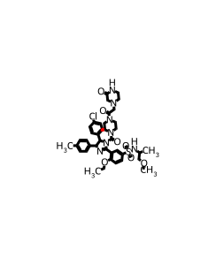 CCOc1ccc(S(=O)(=O)NC(C)COC)cc1C1=NC(c2ccc(C)cc2)C(c2ccc(Cl)cc2)N1C(=O)N1CCN(C(=O)CN2CCNC(=O)C2)CC1